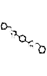 c1ccc(Cn2cc(-c3ccc(-c4cn(Cc5ccccc5)nn4)cc3)nn2)cc1